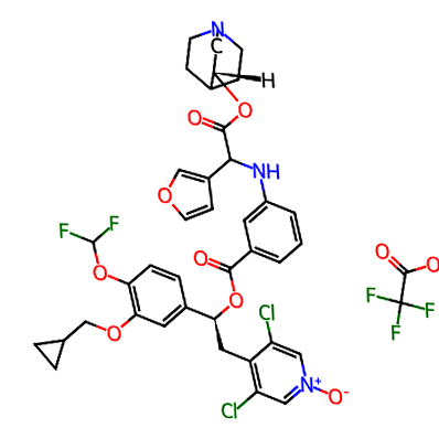 O=C(O)C(F)(F)F.O=C(O[C@@H](Cc1c(Cl)c[n+]([O-])cc1Cl)c1ccc(OC(F)F)c(OCC2CC2)c1)c1cccc(NC(C(=O)O[C@H]2CN3CCC2CC3)c2ccoc2)c1